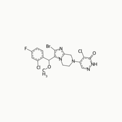 COC(c1ccc(F)cc1Cl)c1c(Br)nc2n1CCN(c1cn[nH]c(=O)c1Cl)C2